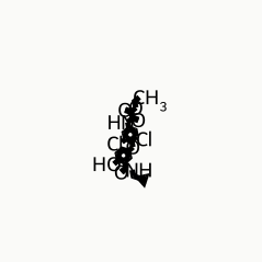 CCOC(=O)C(=O)Nc1cc(Cl)c(Oc2ccc(O)c(C(=O)NCC3CC3)c2)c(Cl)c1